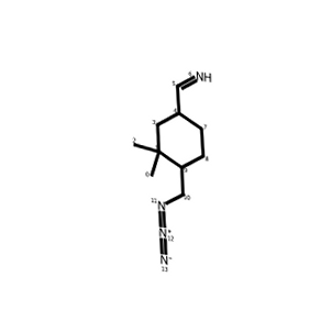 CC1(C)CC(C=N)CCC1CN=[N+]=[N-]